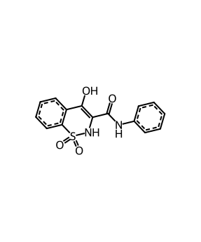 O=C(Nc1ccccc1)C1=C(O)c2ccccc2S(=O)(=O)N1